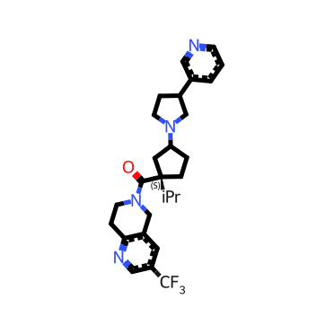 CC(C)[C@]1(C(=O)N2CCc3ncc(C(F)(F)F)cc3C2)CCC(N2CCC(c3cccnc3)C2)C1